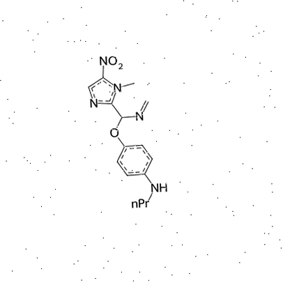 C=NC(Oc1ccc(NCCC)cc1)c1ncc([N+](=O)[O-])n1C